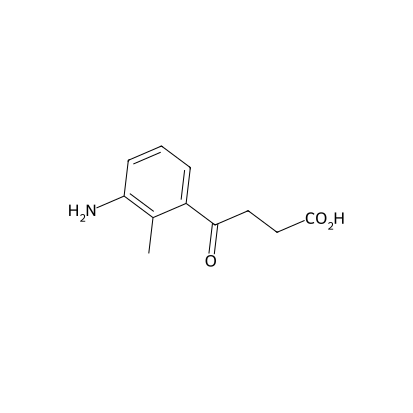 Cc1c(N)cccc1C(=O)CCC(=O)O